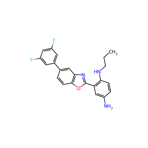 CCCNc1ccc(N)cc1-c1nc2cc(-c3cc(F)cc(F)c3)ccc2o1